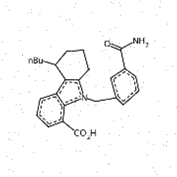 CCCCC1CCCc2c1c1cccc(C(=O)O)c1n2Cc1cccc(C(N)=O)c1